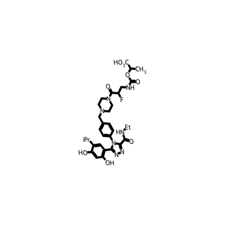 CCNC(=O)c1nnc(-c2cc(C(C)C)c(O)cc2O)n1-c1ccc(CN2CCN(C(=O)C(F)CNC(=O)OC(C)C(=O)O)CC2)cc1